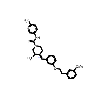 COc1cccc(CCOc2cccc(/C=C3\CCN(C(=O)Nc4ccc(C)nc4)CC3C)c2)c1